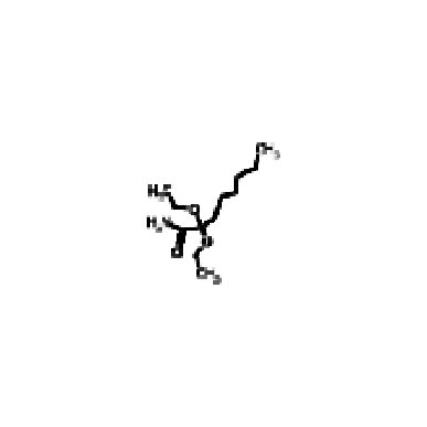 CCCCCCC(OCC)(OCC)C(N)=O